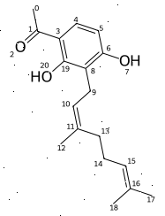 CC(=O)c1ccc(O)c(CC=C(C)CCC=C(C)C)c1O